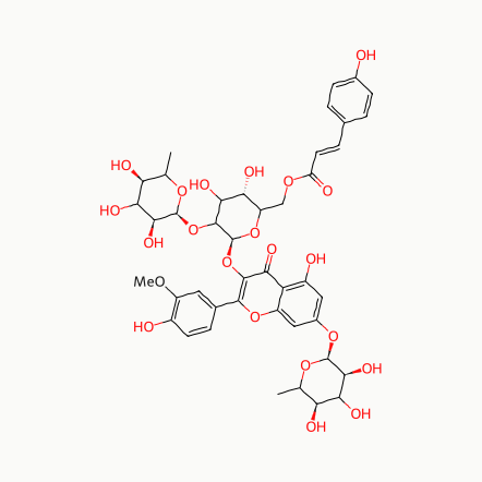 COc1cc(-c2oc3cc(O[C@@H]4OC(C)[C@H](O)C(O)[C@@H]4O)cc(O)c3c(=O)c2O[C@@H]2OC(COC(=O)/C=C/c3ccc(O)cc3)[C@@H](O)C(O)C2O[C@@H]2OC(C)[C@H](O)C(O)[C@@H]2O)ccc1O